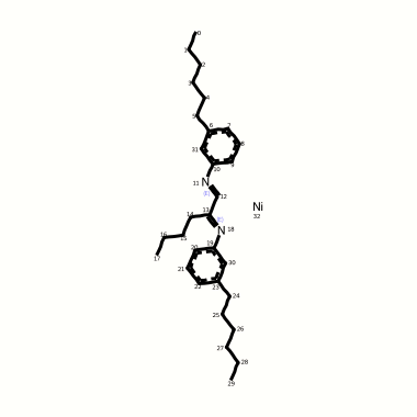 CCCCCCc1cccc(/N=C/C(CCCC)=N/c2cccc(CCCCCC)c2)c1.[Ni]